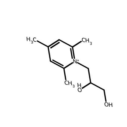 Cc1cc(C)[n+](CC(O)CO)c(C)c1